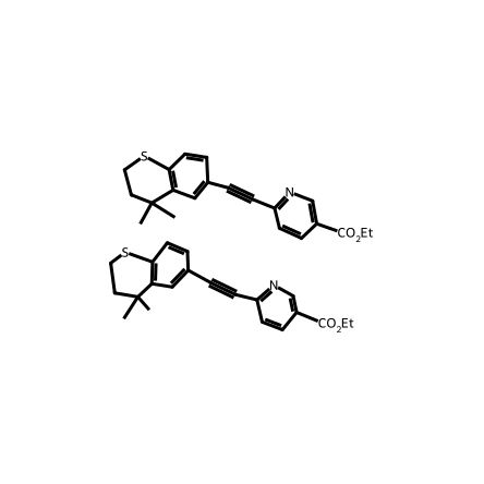 CCOC(=O)c1ccc(C#Cc2ccc3c(c2)C(C)(C)CCS3)nc1.CCOC(=O)c1ccc(C#Cc2ccc3c(c2)C(C)(C)CCS3)nc1